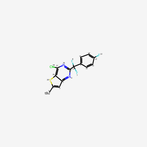 CC(C)(C)c1cc2nc(C(F)(F)c3ccc(F)cc3)nc(Cl)c2s1